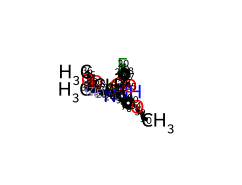 CCCCOc1ccc(C[C@H](NC(=O)C(=O)c2ccc(F)cc2)c2nc(/C=C(C)/C=C(/C)C(=O)OCC)cs2)cc1